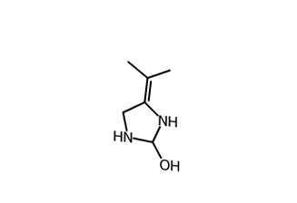 CC(C)=C1CNC(O)N1